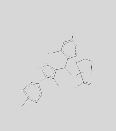 Cc1c(C(OC2(C(=O)O)CCCC2)c2ccc(Cl)cc2Cl)n[nH]c1-c1ccc(Cl)cc1